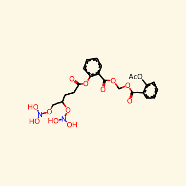 CC(=O)Oc1ccccc1C(=O)OCOC(=O)c1ccccc1OC(=O)CCC(CON(O)O)ON(O)O